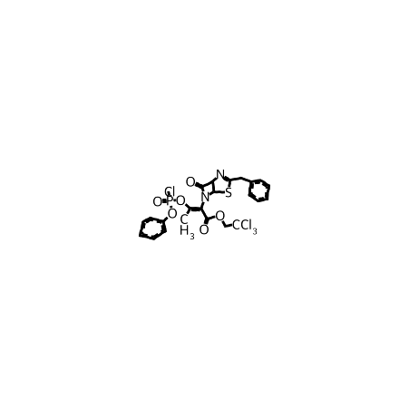 CC(OP(=O)(Cl)Oc1ccccc1)=C(C(=O)OCC(Cl)(Cl)Cl)N1C(=O)C2N=C(Cc3ccccc3)SC21